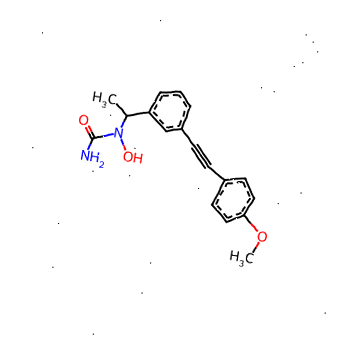 COc1ccc(C#Cc2cccc(C(C)N(O)C(N)=O)c2)cc1